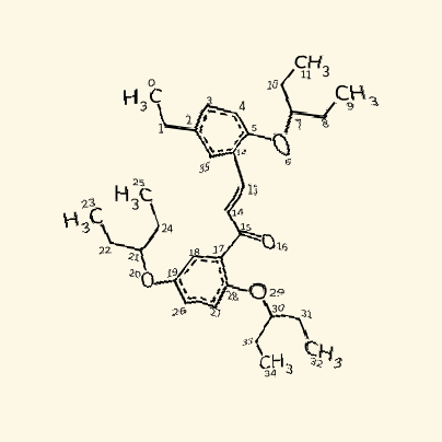 CCc1ccc(OC(CC)CC)c(C=CC(=O)c2cc(OC(CC)CC)ccc2OC(CC)CC)c1